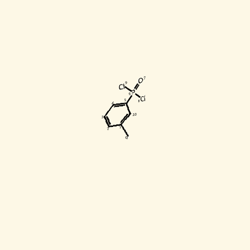 Cc1cccc(P(=O)(Cl)Cl)c1